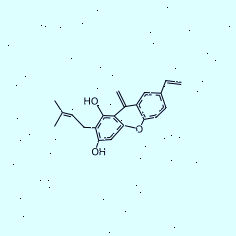 C=Cc1ccc2c(c1)C(=C)c1c(cc(O)c(CC=C(C)C)c1O)O2